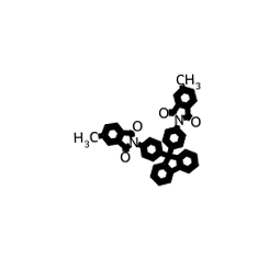 Cc1ccc2c(c1)C(=O)N(c1ccc(C3(c4ccc(N5C(=O)c6ccc(C)cc6C5=O)cc4)c4ccccc4-c4ccccc43)cc1)C2=O